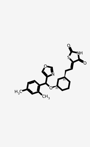 Cc1ccc(C(O[C@@H]2CCC[C@H](CC=C3SC(=O)NC3=O)C2)c2cocn2)c(C)c1